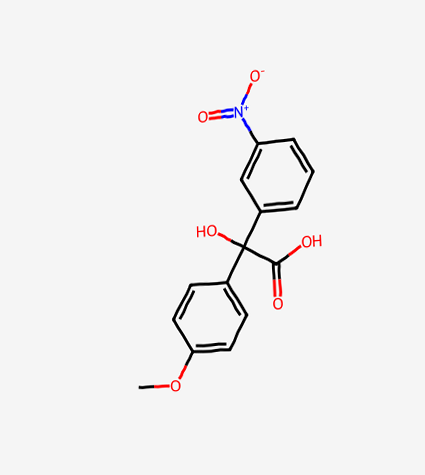 COc1ccc(C(O)(C(=O)O)c2cccc([N+](=O)[O-])c2)cc1